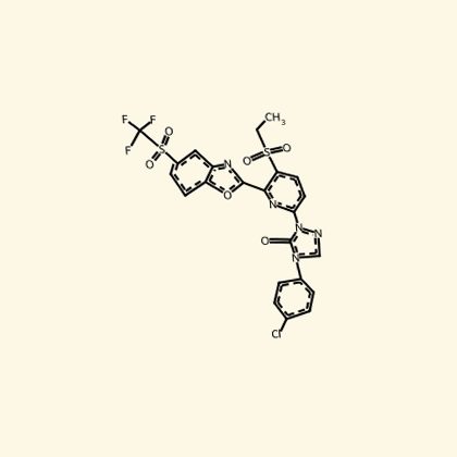 CCS(=O)(=O)c1ccc(-n2ncn(-c3ccc(Cl)cc3)c2=O)nc1-c1nc2cc(S(=O)(=O)C(F)(F)F)ccc2o1